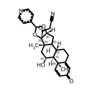 C[C@]12C=CC(=O)C=C1CC[C@@H]1[C@@H]2[C@@H](O)C[C@@]2(C)[C@H]1C[C@H]1OC(c3ccncc3)O[C@]12C(=O)CC#N